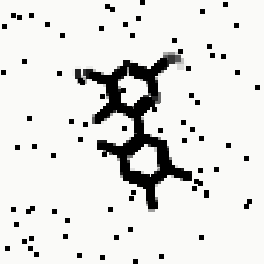 Cc1cc(C)c(-c2nc(N)nc(N)c2C)cc1C